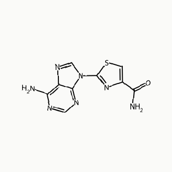 NC(=O)c1csc(-n2cnc3c(N)ncnc32)n1